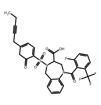 CCC#CCC1=CC=C(S(=O)(=O)N2Cc3ccccc3N(C(=O)c3c(F)cccc3C(F)(F)F)CC2C(=O)O)C(=O)C1